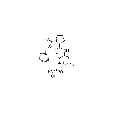 CC(C)C[C@H](NC(=O)[C@@H]1CCCN1C(=O)OCc1ccccc1)C(=O)NCC(=O)NO